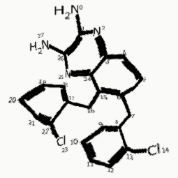 Nc1nc2ccc(Cc3ccccc3Cl)c(Cc3ccccc3Cl)c2nc1N